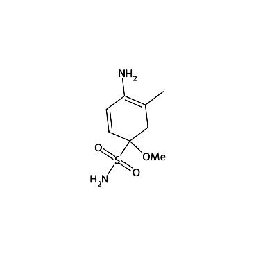 COC1(S(N)(=O)=O)C=CC(N)=C(C)C1